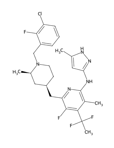 Cc1cc(Nc2nc(C[C@@H]3CCN(Cc4cccc(Cl)c4F)[C@H](C)C3)c(F)c(C(C)(F)F)c2C)n[nH]1